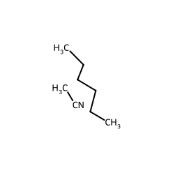 CC#N.CCCCCC